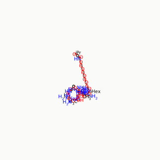 CCCCCC[C@H](NC(=O)CCOCCOCCOCCOCCOCCOCCOCCOCCNC(=O)c1ccc(C(=O)C(C)C)cc1)C(=O)N[C@@H](CCN)C(=O)N[C@H](C(=O)N[C@@H](CCN)C(=O)N[C@H]1CCNC(=O)[C@H]([C@@H](C)O)NC(=O)[C@H](CCN)NC(=O)[C@H](CCN)NC(=O)[C@H](CC(C)C)NC(=O)[C@@H](Cc2ccccc2)NC(=O)[C@H](CCN)NC1=O)[C@@H](C)O